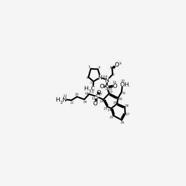 CC1CCCN1N(CC=O)S(=O)(=O)c1c(S(=O)(=O)CCCCN)cc2ccccc2c1CO